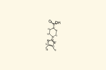 Cc1nc(C2CCC(C(=O)O)CC2)sc1C